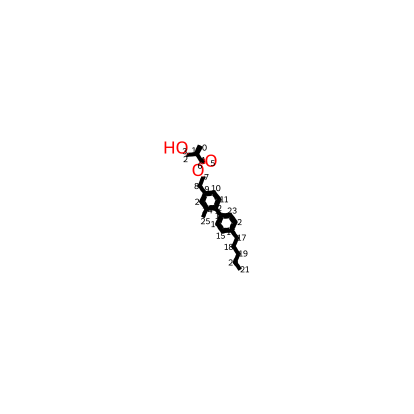 C=C(CO)C(=O)OCCc1ccc(-c2ccc(CCCCC)cc2)c(C)c1